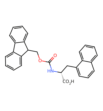 O=C(N[C@H](Cc1cccc2ccccc12)C(=O)O)OCC1c2ccccc2-c2ccccc21